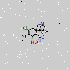 N#Cc1c(Cl)ccc(/C(=N\O)N[C@H]2CN3CCC2CC3)c1F